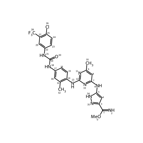 COC(=N)c1cc(Nc2cc(C)nc(Nc3ccc(NC(=O)Nc4ccc(Cl)c(C(F)(F)F)c4)cc3C)n2)[nH]n1